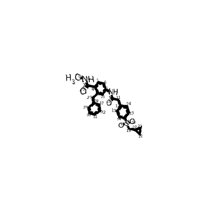 CNC(=O)c1ccc(NC(=O)Cc2ccc(S(=O)(=O)CC3CC3)cc2)cc1Cc1ccccc1